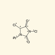 CC(C)N1C(=O)N(Cl)C(=O)C1Cl